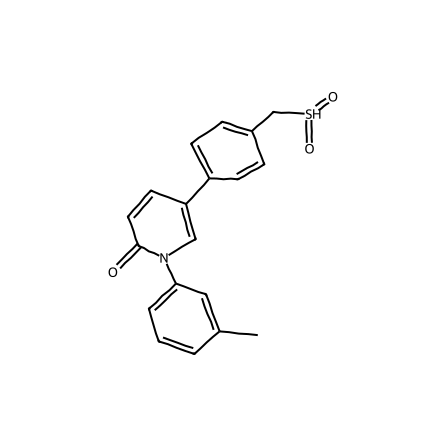 Cc1cccc(-n2cc(-c3ccc(C[SH](=O)=O)cc3)ccc2=O)c1